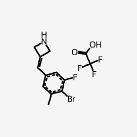 Cc1cc(C=C2CNC2)cc(F)c1Br.O=C(O)C(F)(F)F